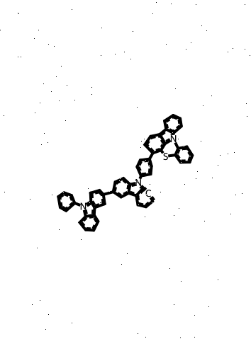 c1ccc(-n2c3ccccc3c3cc(-c4ccc5c(c4)c4ccccc4n5-c4ccc(-c5ccc6c7ccccc7n7c6c5Sc5ccccc5-7)cc4)ccc32)cc1